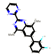 CNc1nc(-c2ncccn2)nc2c(OC)cc(-c3cccc(F)c3F)cc12